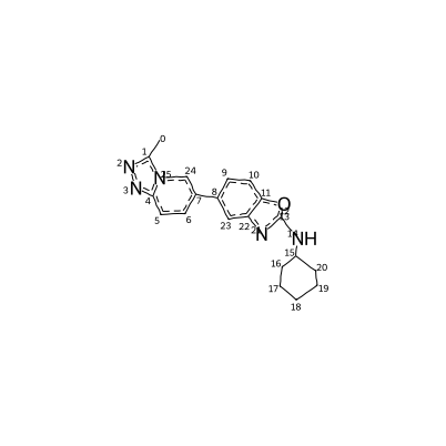 Cc1nnc2ccc(-c3ccc4oc(NC5CCCCC5)nc4c3)cn12